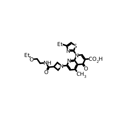 CCOCCNC(=O)C1CN(c2cc(C)c3c(=O)c(C(=O)O)cn(-c4nc(CC)cs4)c3n2)C1